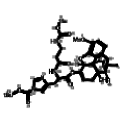 COc1ccc2c3c1O[C@H]1C(OC(=O)C(Cc4cn(C(=O)OC(C)(C)C)cn4)NC(=O)CCNC(=O)OC(C)(C)C)=CC[C@@]4(O)[C@@H](C2)N(C)CC[C@]314